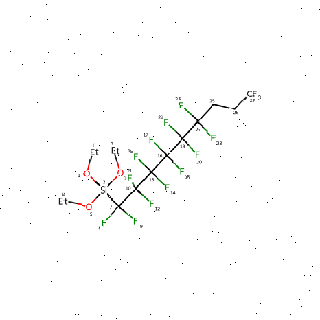 CCO[Si](OCC)(OCC)C(F)(F)C(F)(F)C(F)(F)C(F)(F)C(F)(F)C(F)(F)CCC(F)(F)F